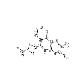 C/C=N\N1C(N2CC(NC)C2)=Nc2cc(F)c(Br)cc2C1C